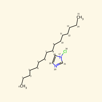 CCCCCCCCCCCCCCCC.Cln1ccnc1